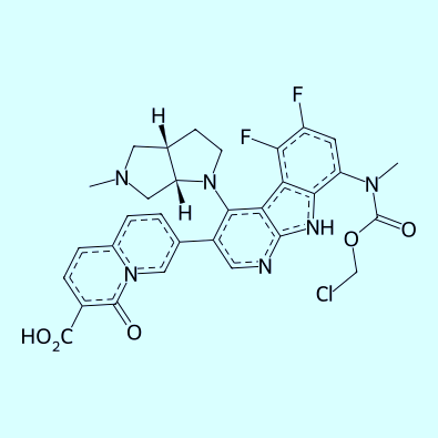 CN1C[C@@H]2CCN(c3c(-c4ccc5ccc(C(=O)O)c(=O)n5c4)cnc4[nH]c5c(N(C)C(=O)OCCl)cc(F)c(F)c5c34)[C@@H]2C1